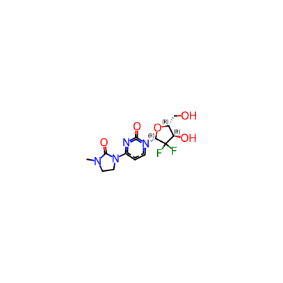 CN1CCN(c2ccn([C@@H]3O[C@H](CO)[C@@H](O)C3(F)F)c(=O)n2)C1=O